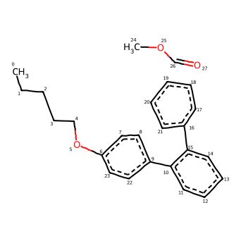 CCCCCOc1ccc(-c2ccccc2-c2ccccc2)cc1.COC=O